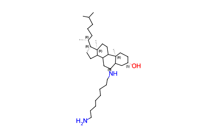 CC(C)CCC[C@@H](C)[C@H]1CCC2C3C[C@@H](NCCCCCCCCN)C4C[C@@H](O)CC[C@]4(C)C3CC[C@@]21C